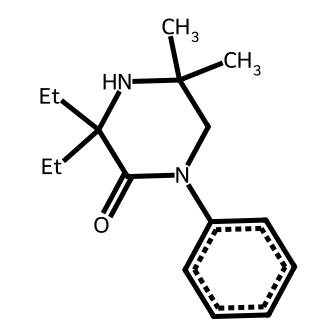 CCC1(CC)NC(C)(C)CN(c2ccccc2)C1=O